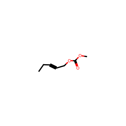 CCC#CCOC(=O)OC